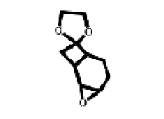 C1COC2(CC3C4OC4CCC32)O1